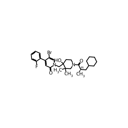 C[C@H](CC1CCCCC1)C(=O)N1CCC(O)(Cn2cc(Br)c(-c3ccccc3F)cc2=O)C(C)(C)C1